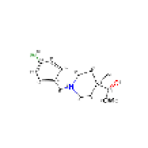 COC(=O)C1(C)CCN(Cc2ccc(Br)cc2)CC1